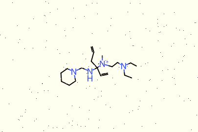 C=CCC(C=C)(NCN1CCCCC1)[N+](C)CCN(CC)CC